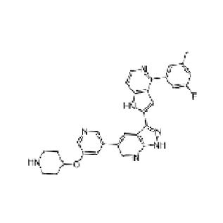 Cc1cc(F)cc(-c2nccc3[nH]c(-c4n[nH]c5ncc(-c6cncc(OC7CCNCC7)c6)cc45)cc23)c1